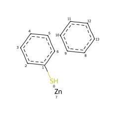 Sc1ccccc1.[Zn].c1ccccc1